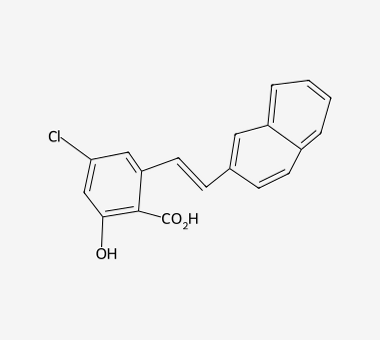 O=C(O)c1c(O)cc(Cl)cc1C=Cc1ccc2ccccc2c1